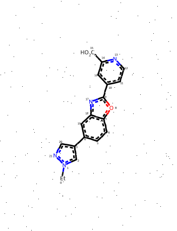 CCn1cc(-c2ccc3oc(-c4ccnc(C(=O)O)c4)nc3c2)cn1